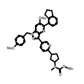 COc1ccc(Cn2nc(-c3ccc(C4CCC(N(C)C(=O)OC(C)(C)C)C4)nc3)c3nc(-c4cccc5c4CCC5)c(OC)cc32)cc1